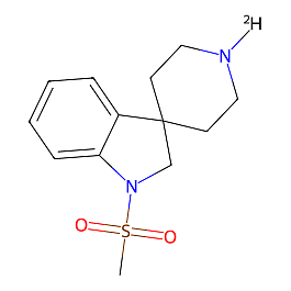 [2H]N1CCC2(CC1)CN(S(C)(=O)=O)c1ccccc12